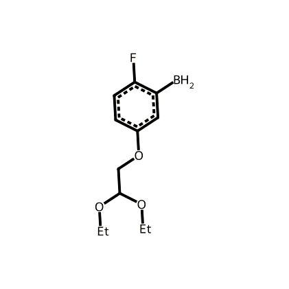 Bc1cc(OCC(OCC)OCC)ccc1F